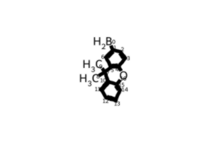 Bc1ccc2c(c1)C(C)(C)c1ccccc1O2